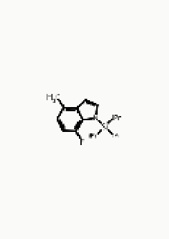 Cc1ccc(F)c2c1ccn2[Si](C(C)C)(C(C)C)C(C)C